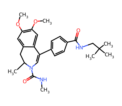 CNC(=O)N1C=C(c2ccc(C(=O)NCC(C)(C)C)cc2)c2cc(OC)c(OC)cc2CC1C